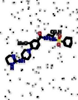 COc1cc(C(=O)NC[C@H](NS(=O)(=O)c2ccccc2)C(=O)O)ccc1N1CCC(NC2=NCCCN2)CC1